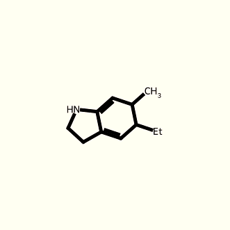 CCC1C=C2CCNC2=CC1C